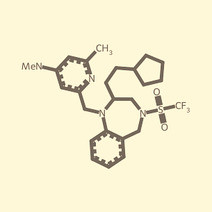 CNc1cc(C)nc(CN2c3ccccc3CN(S(=O)(=O)C(F)(F)F)CC2CCC2CCCC2)c1